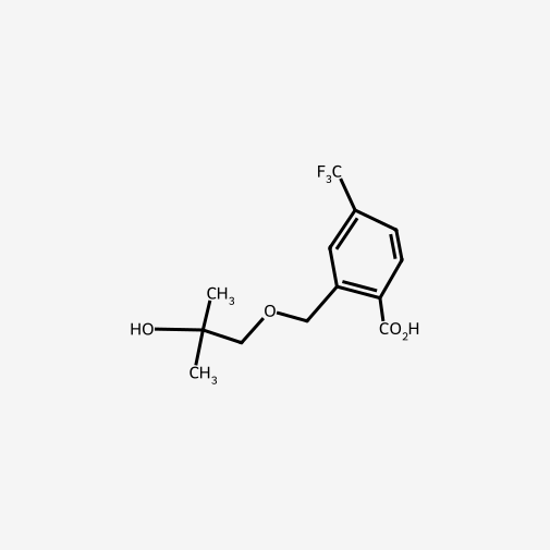 CC(C)(O)COCc1cc(C(F)(F)F)ccc1C(=O)O